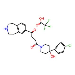 O=C(CCC(=O)N1CCC(O)(c2ccc(Cl)cc2)CC1)c1ccc2c(c1)CCNCC2.O=C(O)C(F)(F)F